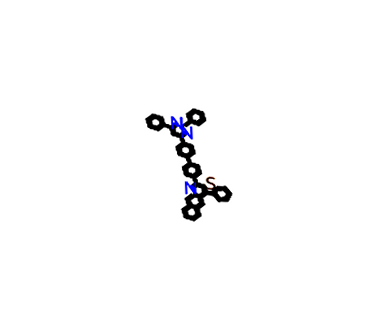 c1ccc(-c2cc(-c3ccc(-c4ccc(-c5nc6cc7ccccc7cc6c6c5sc5ccccc56)cc4)cc3)nc(-c3ccccc3)n2)cc1